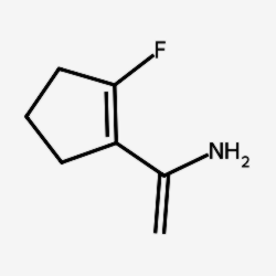 C=C(N)C1=C(F)CCC1